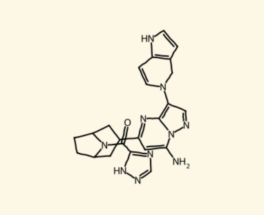 Nc1cc(C2CC3CCC(C2)N3C(=O)c2ncn[nH]2)nc2c(N3C=Cc4[nH]ccc4C3)cnn12